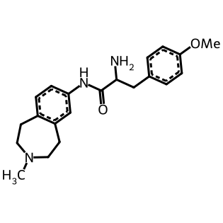 COc1ccc(CC(N)C(=O)Nc2ccc3c(c2)CCN(C)CC3)cc1